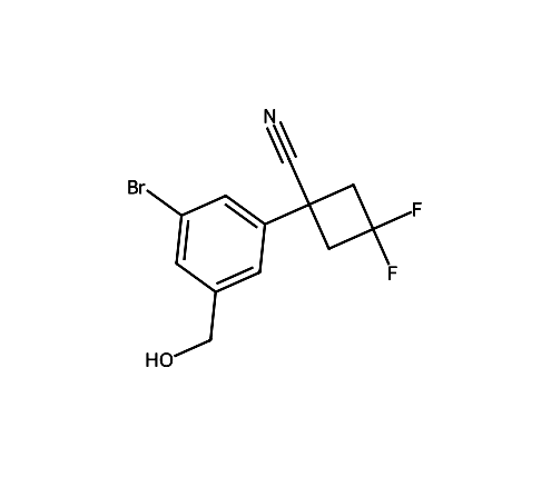 N#CC1(c2cc(Br)cc(CO)c2)CC(F)(F)C1